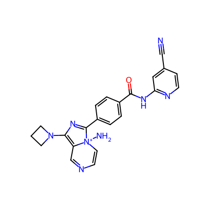 N#Cc1ccnc(NC(=O)c2ccc(C3=NC(N4CCC4)=C4C=NC=C[N+]34N)cc2)c1